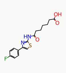 O=C(O)CCCCCC(=O)Nc1nc(-c2ccc(F)cc2)cs1